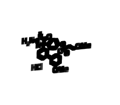 COCCS(=O)(=O)Oc1ccc(C2(c3cccc(-c4cccc(OC)c4)c3)N=C(N)N(C)C2=O)cc1.Cl